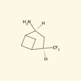 N[C@H]1C[C@@H](C(F)(F)F)C2CC1C2